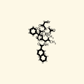 CC(C)[C@H](NC(=O)c1ccc2ccccc2c1)C1=NOC(C(=O)N(C)[C@@H](CC(=O)O)C(=O)CBr)(c2ccccc2)C1